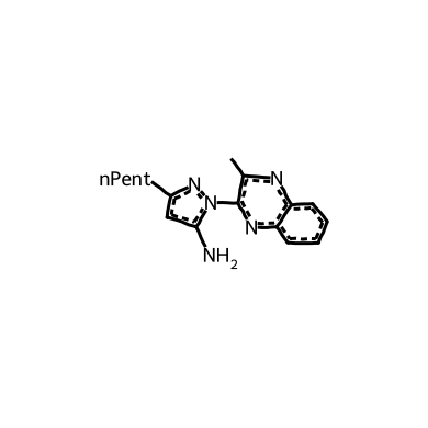 CCCCCc1cc(N)n(-c2nc3ccccc3nc2C)n1